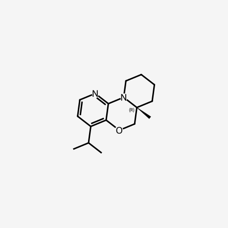 CC(C)c1ccnc2c1OC[C@@]1(C)CCCCN21